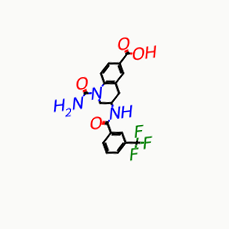 NC(=O)N1CC(NC(=O)c2cccc(C(F)(F)F)c2)Cc2cc(C(=O)O)ccc21